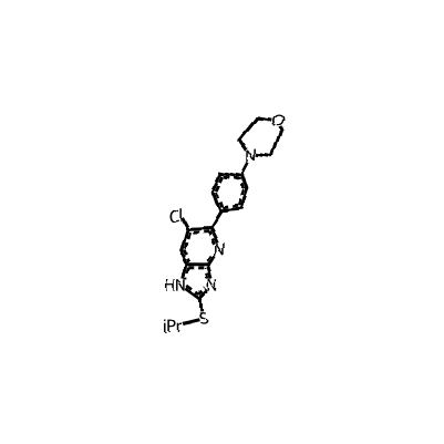 CC(C)Sc1nc2nc(-c3ccc(N4CCOCC4)cc3)c(Cl)cc2[nH]1